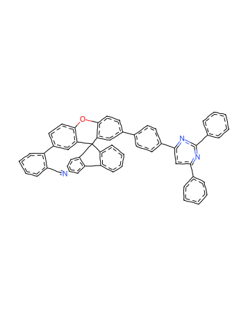 N#Cc1ccccc1-c1ccc2c(c1)C1(c3cc(-c4ccc(-c5cc(-c6ccccc6)nc(-c6ccccc6)n5)cc4)ccc3O2)c2ccccc2-c2ccccc21